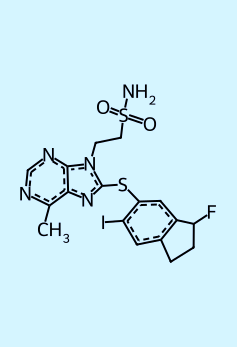 Cc1ncnc2c1nc(Sc1cc3c(cc1I)CCC3F)n2CCS(N)(=O)=O